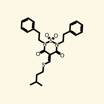 CC(C)CCSC=C1C(=O)N(CCc2ccccc2)S(=O)(=O)N(CCc2ccccc2)C1=O